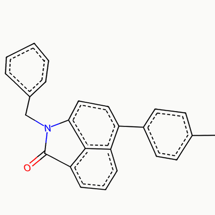 Cc1ccc(-c2ccc3c4c(cccc24)C(=O)N3Cc2ccccc2)cc1